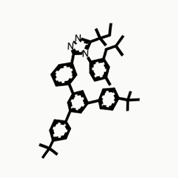 CCC(C)(C)c1nnc(-c2cccc(-c3cc(-c4ccc(C(C)(C)C)cc4)cc(-c4ccc(C(C)(C)C)cc4)c3)c2)n1-c1ccc(C)cc1CC(C)C